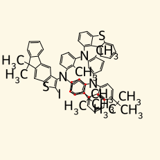 Cc1ccc(N(c2ccc(C(C)(C)C)cc2)c2ccccc2-c2ccccc2)cc1N(c1cccc(N(c2ccc(C(C)(C)C)cc2)c2c(I)sc3cc4c(cc23)-c2ccccc2C4(C)C)c1C)c1cccc2sc3ccccc3c12